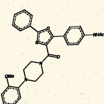 COc1ccccc1N1CCN(C(=O)c2nc(-c3ccccc3)oc2-c2ccc(NC(C)=O)cc2)CC1